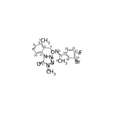 CC(=NOCc1c(C)cccc1-n1nnn(C)c1=O)c1ccc(F)c(Br)c1